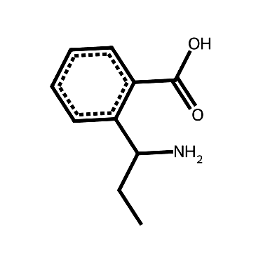 CCC(N)c1ccccc1C(=O)O